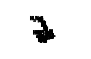 CCC(=O)/N=C1\[C@H](C)C[C@@]2(C)OC/C(=N/OCc3ccc(-c4nc(N)cs4)cn3)CC[C@H]([C@H]1C)[C@](C)(O)[C@@H](CC)OC(=O)[C@@](C)(F)C(=O)[C@H](C)[C@H]2O[C@@H]1O[C@H](C)C[C@H](N(C)C)[C@H]1O